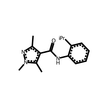 Cc1nn(C)c(C)c1C(=O)Nc1ccccc1C(C)C